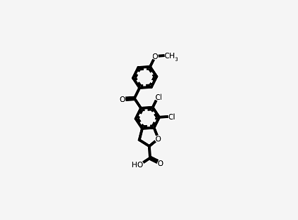 COc1ccc(C(=O)c2cc3c(c(Cl)c2Cl)OC(C(=O)O)C3)cc1